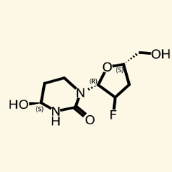 O=C1N[C@@H](O)CCN1[C@@H]1O[C@H](CO)CC1F